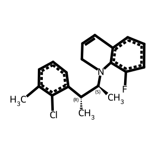 Cc1cccc([C@@H](C)[C@H](C)N2CC=Cc3cccc(F)c32)c1Cl